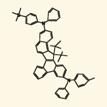 Cc1ccc(N(c2ccccc2)c2ccc3c4c(c5ccccc5c3c2)-c2ccc3cc(N(c5ccccc5)c5ccc([Si](C)(C)C)cc5)ccc3c2C4(C(C)(C)C)C(C)(C)C)cc1